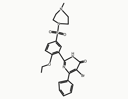 CCOc1ccc(S(=O)(=O)N2CCN(C)CC2)cc1-c1nc(-c2ccccc2)c(Br)c(=O)[nH]1